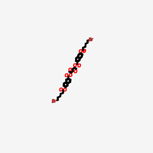 O=C(CCCCCBr)Oc1ccc2cc(C(=O)O[C@H]3COC4C3OC[C@H]4OC(=O)c3ccc4cc(OC(=O)CCCCCBr)ccc4c3)ccc2c1